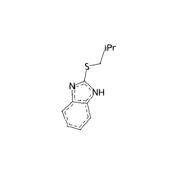 [CH2]C(C)CSc1nc2ccccc2[nH]1